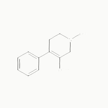 CCCCCCCCC1=C(c2ccccc2)CCN(CCCCCCCC)C1